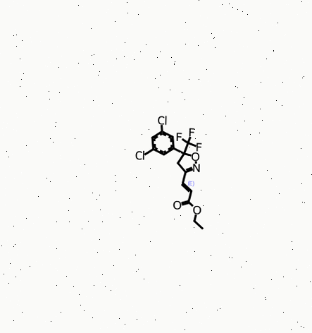 CCOC(=O)/C=C/C1=NOC(c2cc(Cl)cc(Cl)c2)(C(F)(F)F)C1